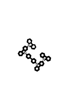 C1=CC2C3=C(C=CCC3)N(c3ccc4c5ccccc5n(-c5ccc(-c6ccc(-n7c8ccccc8c8ccc(-n9c%10ccccc%10c%10ccccc%109)cc87)cc6)cc5)c4c3)C2C=C1